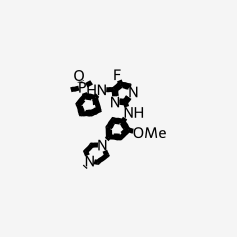 COc1cc(N2CCN(C)CC2)ccc1Nc1ncc(F)c(Nc2ccccc2P(C)(C)=O)n1